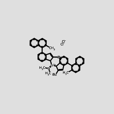 CCC(C)C1=Cc2c(-c3c(C)ccc4ccccc34)cccc2[CH]1[Zr+2]([CH]1C(C(C)CC)=Cc2c(-c3c(C)ccc4ccccc34)cccc21)=[Si](C)C.[Cl-].[Cl-]